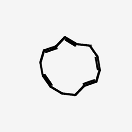 [CH]1/C=C\C=C\CC/C=C\C/C=C/C=C/1